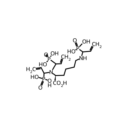 C=CC(NCCCC[C@@H](C(=O)O)N(C(C=C)P(=O)(O)O)C(C=C)P(=O)(O)O)P(=O)(O)O